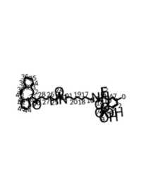 Cc1ccc(OP(=O)(O)O)c(C(F)C(=O)NCCCCCCNC(=O)CCCCC(=O)C2Cc3ccccc3C#Cc3ccccc32)c1